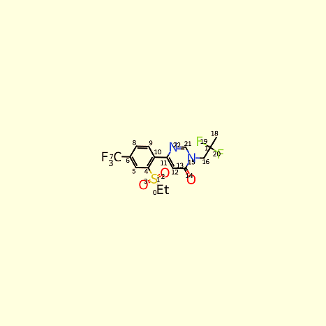 CCS(=O)(=O)c1cc(C(F)(F)F)ccc1-c1cc(=O)n(CC(C)(F)F)cn1